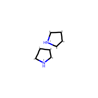 [CH]1[CH]CNC1.[CH]1[CH]NCC1